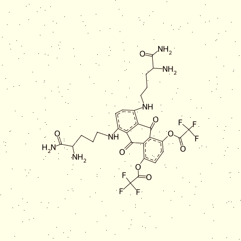 NC(=O)C(N)CCCNc1ccc(NCCCC(N)C(N)=O)c2c1C(=O)c1c(OC(=O)C(F)(F)F)ccc(OC(=O)C(F)(F)F)c1C2=O